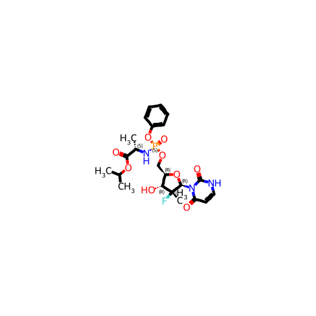 CC(C)OC(=O)[C@H](C)N[P@](=O)(OC[C@H]1O[C@@H](n2c(=O)cc[nH]c2=O)[C@](C)(F)[C@@H]1O)Oc1ccccc1